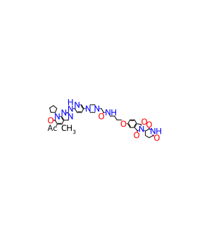 CC(=O)c1c(C)c2cnc(Nc3ccc(N4CCN(CC(=O)NCCCCOc5ccc6c(c5)C(=O)N(C5CCC(=O)NC5=O)C6=O)CC4)cn3)nc2n(C2CCCC2)c1=O